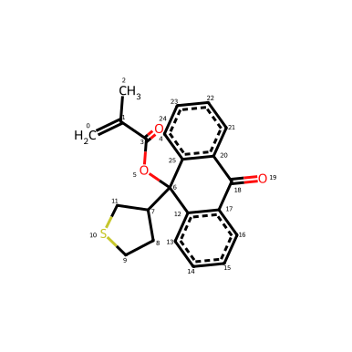 C=C(C)C(=O)OC1(C2CCSC2)c2ccccc2C(=O)c2ccccc21